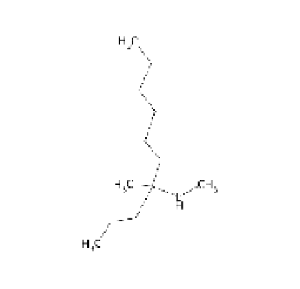 CBC(C)(CCC)CCCCCC